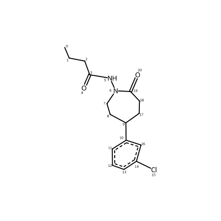 CCCC(=O)NN1CCC(c2cccc(Cl)c2)CCC1=O